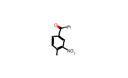 Cc1ccc(C(=O)C(C)C)cc1[N+](=O)[O-]